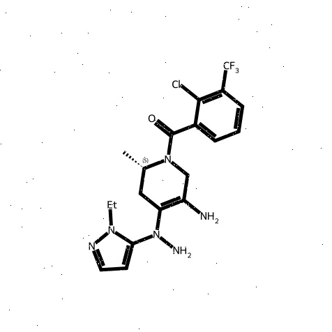 CCn1nccc1N(N)C1=C(N)CN(C(=O)c2cccc(C(F)(F)F)c2Cl)[C@@H](C)C1